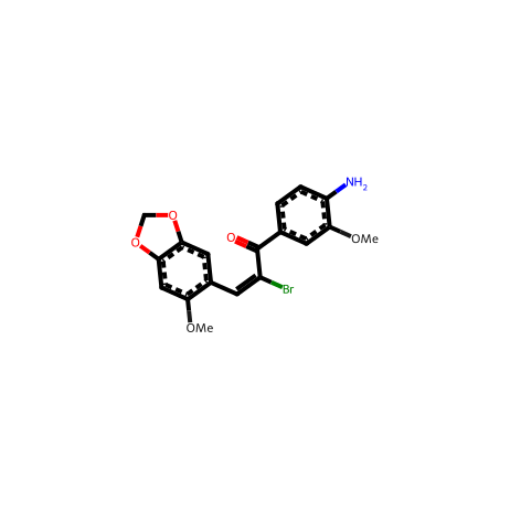 COc1cc(C(=O)/C(Br)=C\c2cc3c(cc2OC)OCO3)ccc1N